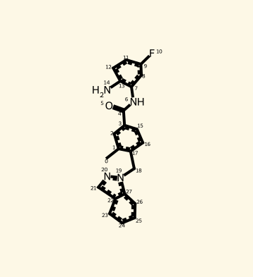 Cc1cc(C(=O)Nc2cc(F)ccc2N)ccc1Cn1ncc2ccccc21